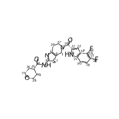 O=C(Nc1nc2c(s1)CN(C(=O)c1cc3c(F)c(F)ccc3[nH]1)CC2)C1CCOCC1